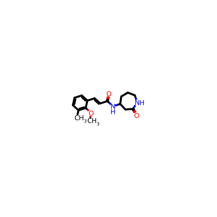 COc1c(C)cccc1C=CC(=O)NC1CCCNC(=O)C1